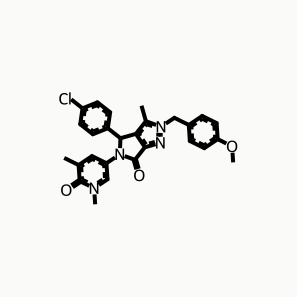 COc1ccc(Cn2nc3c(c2C)C(c2ccc(Cl)cc2)N(c2cc(C)c(=O)n(C)c2)C3=O)cc1